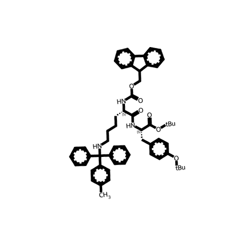 Cc1ccc(C(NCCCC[C@H](NC(=O)OCC2c3ccccc3-c3ccccc32)C(=O)N[C@@H](Cc2ccc(OC(C)(C)C)cc2)C(=O)OC(C)(C)C)(c2ccccc2)c2ccccc2)cc1